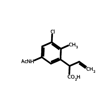 C=CC(C(=O)O)c1cc(NC(C)=O)cc(Cl)c1C